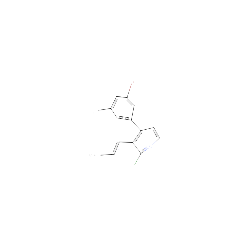 CO/C=C/c1c(-c2cc(Br)cc(C(F)(F)F)c2)ccnc1Cl